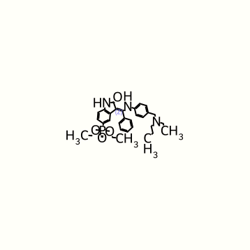 CCCN(CC)Cc1ccc(N/C(=C2\C(=O)Nc3ccc(P(=O)(OCC)OCC)cc32)c2ccccc2)cc1